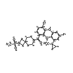 CC1(c2cc(F)cc(Oc3c(Cl)ccc(C(=O)N4CCC5(CC4)CN(S(C)(=O)=O)C5)c3Cl)c2)CC1